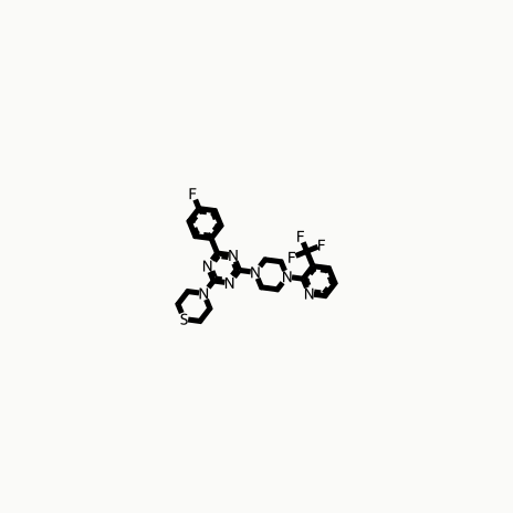 Fc1ccc(-c2nc(N3CCSCC3)nc(N3CCN(c4ncccc4C(F)(F)F)CC3)n2)cc1